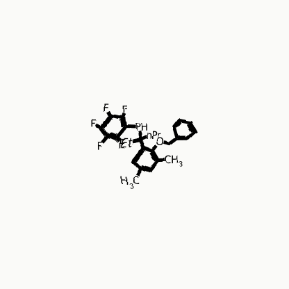 CCCC(CC)(Pc1c(F)c(F)c(F)c(F)c1F)c1cc(C)cc(C)c1OCc1ccccc1